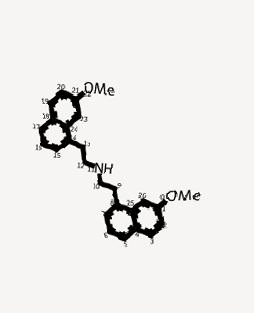 COc1ccc2cccc(CCNCCc3cccc4ccc(OC)cc34)c2c1